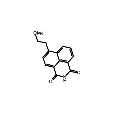 COCCc1ccc2c3c(cccc13)C(=O)NC2=O